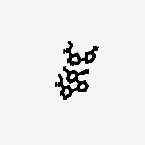 CCNc1cc(-c2cccc(Br)c2)cnn1.CCNc1cc(-c2ccccc2-c2ccc(F)cc2C#N)cnn1